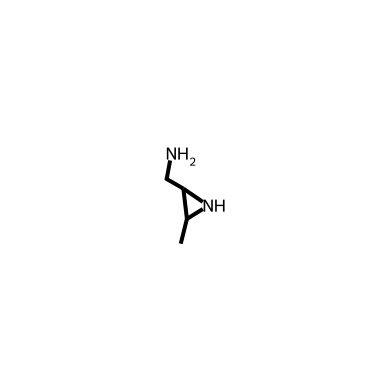 CC1NC1CN